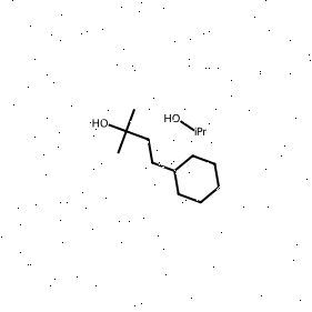 CC(C)(O)CCC1CCCCC1.CC(C)O